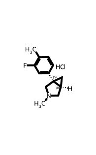 Cc1ccc([C@]23C[C@H]2CN(C)C3)cc1F.Cl